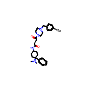 CN(C)C1(c2ccccc2)CCC(NC(=O)CCC(=O)N2CCN(Cc3ccc(C(C)(C)C)cc3)CC2)CC1